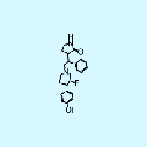 O=C1NCCC1C(CN1CC[C@@H](c2ccc(O)cc2)[C@H](F)C1)c1ccccc1